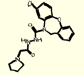 O=C(CN1CCCC1)NNC(=O)N1Cc2ccccc2Oc2ccc(Cl)cc21